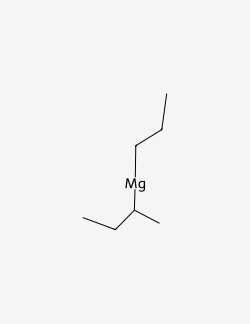 CC[CH2][Mg][CH](C)CC